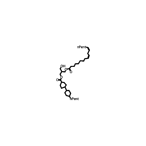 CCCCC/C=C\C/C=C\CCCCCCCC(=O)OCC(CO)COC(=O)C1CCC(C2CCC(CCCCC)CC2)CC1